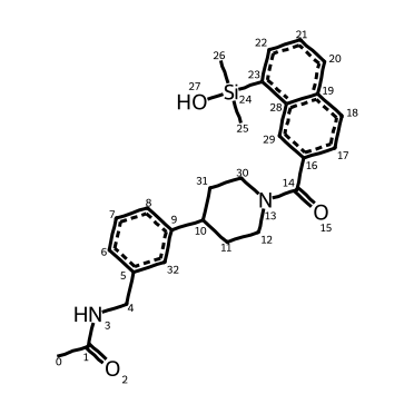 CC(=O)NCc1cccc(C2CCN(C(=O)c3ccc4cccc([Si](C)(C)O)c4c3)CC2)c1